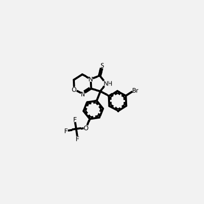 FC(F)(F)Oc1ccc(C2(c3cccc(Br)c3)NC(=S)N3CCON=C32)cc1